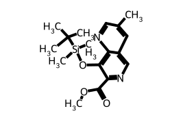 COC(=O)c1ncc2cc(C)cnc2c1O[Si](C)(C)C(C)(C)C